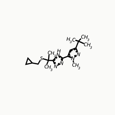 Cn1nc(C(C)(C)C)cc1-c1nnc(C(C)(C)SCC2CC2)[nH]1